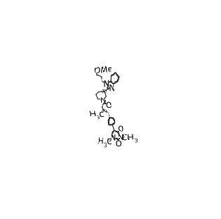 COCCCn1c([C@@H]2CCCN(C(=O)C[C@H](C)Cc3ccc(-c4cn(C)c(=O)n(C)c4=O)cc3)C2)nc2ccccc21